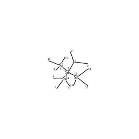 CC(C)[Si]([Si](C)(C)C)([Si](C)(C)C)[Si](C)(C)C